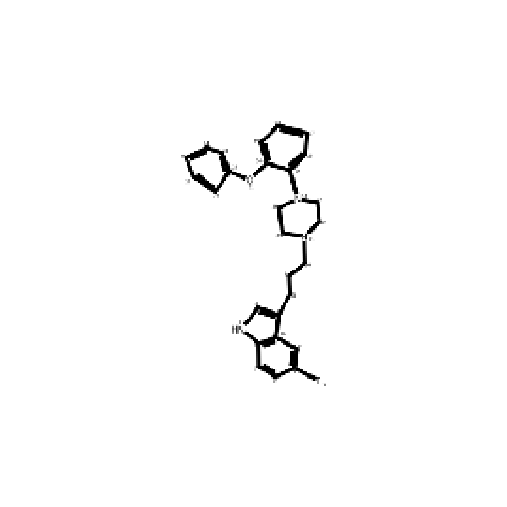 Fc1ccc2[nH]cc(CCCN3CCN(c4ccccc4Oc4ccccc4)CC3)c2c1